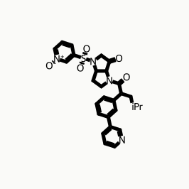 CC(C)CC(C(=O)N1CCC2C1C(=O)CN2S(=O)(=O)c1ccc[n+]([O-])c1)c1cccc(-c2cccnc2)c1